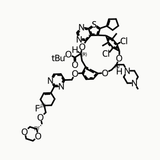 Cc1c(Cl)c2c(Cl)c(C)c1-c1c(C3=CCCC3)sc3ncnc(c13)O[C@@H](C(=O)OC(C)(C)C)Cc1cc(ccc1OCc1ccnc(C3=CC[C@](F)(COC[C@H]4COCCO4)CC3)n1)OC[C@@H](CN1CCN(C)CC1)O2